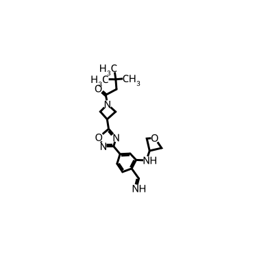 CC(C)(C)CC(=O)N1CC(c2nc(-c3ccc(C=N)c(NC4COC4)c3)no2)C1